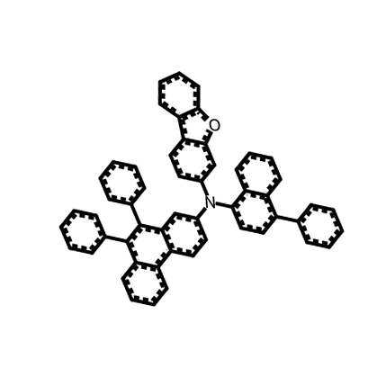 c1ccc(-c2ccc(N(c3ccc4c(c3)oc3ccccc34)c3ccc4c(c3)c(-c3ccccc3)c(-c3ccccc3)c3ccccc34)c3ccccc23)cc1